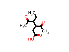 CCC(C(C)=O)C(CC(=O)O)C(C)=O